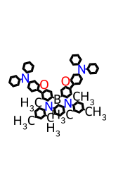 Cc1cc(C)c(N2c3cc4c(cc3B3c5cc6oc7cc(N(c8ccccc8)c8ccccc8)ccc7c6cc5N(c5c(C)cc(C)cc5C)c5cccc2c53)oc2cc(N(c3ccccc3)c3ccccc3)ccc24)c(C)c1